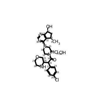 C[C@@H]1C[C@H](O)c2ncnc(N3CCN(C(=O)C(c4ccc(Cl)cc4)C4COCCN4)CC3)c21.Cl.Cl